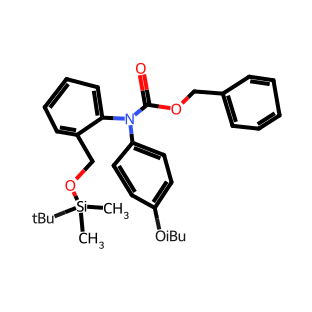 CC(C)COc1ccc(N(C(=O)OCc2ccccc2)c2ccccc2CO[Si](C)(C)C(C)(C)C)cc1